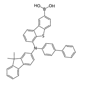 CC1(C)c2ccccc2-c2ccc(N(c3ccc(-c4ccccc4)cc3)c3cccc4c3sc3ccc(B(O)O)cc34)cc21